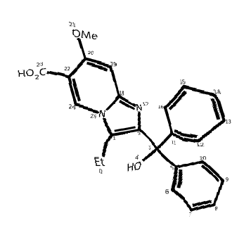 CCc1c(C(O)(c2ccccc2)c2ccccc2)nc2cc(OC)c(C(=O)O)cn12